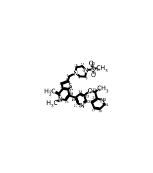 C=C1c2cc(CN3CCN(S(C)(=O)=O)CC3)sc2C(c2cncc(OC(C)c3ccccn3)c2)=CN1C